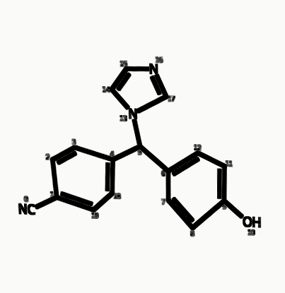 N#Cc1ccc(C(c2ccc(O)cc2)n2ccnc2)cc1